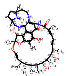 CO[C@H]1/C=C/O[C@@]2(C)Oc3c(C)c(O)c4c(c3C2O)/C2=N/C[C@@H]3CC[C@H](CCNC2=C(NC(=O)/C(C)=C\C=C\[C@H](C)[C@H](O)[C@@H](C)[C@@H](O)[C@@H](C)[C@H](OC(C)=O)[C@@H]1C)C4=O)N3C